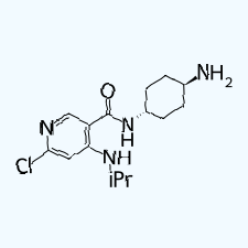 CC(C)Nc1cc(Cl)ncc1C(=O)N[C@H]1CC[C@H](N)CC1